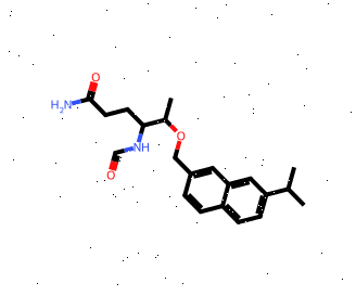 CC(C)c1ccc2ccc(COC(C)C(CCC(N)=O)NC=O)cc2c1